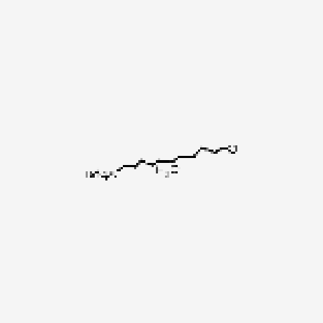 CCCCCCCCCCCCCCCCCCCl.O